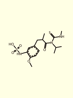 CNC(=S)N(C(=O)C(C)Cc1ccc(OC)c(NS(=O)(=O)O)c1)C(C)C